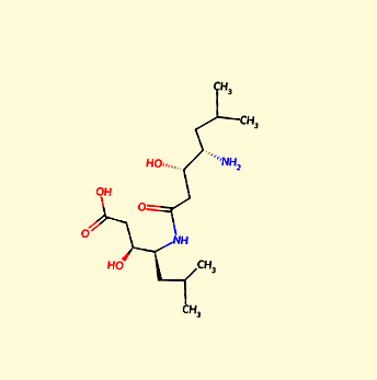 CC(C)C[C@H](NC(=O)C[C@H](O)[C@@H](N)CC(C)C)[C@@H](O)CC(=O)O